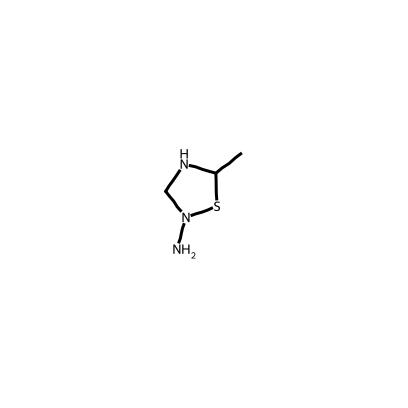 CC1NCN(N)S1